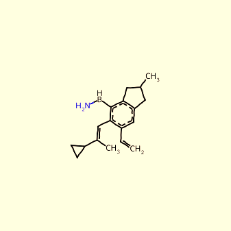 C=Cc1cc2c(c(BN)c1/C=C(\C)C1CC1)CC(C)C2